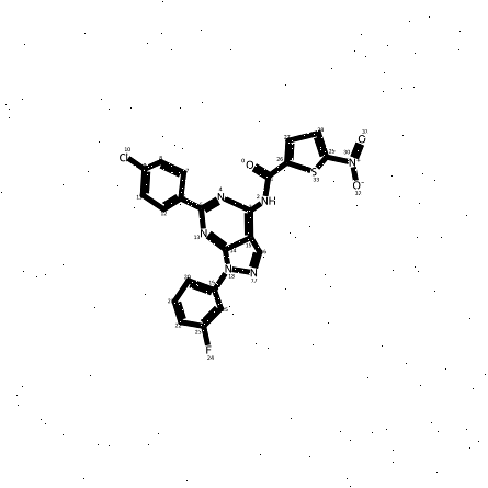 O=C(Nc1nc(-c2ccc(Cl)cc2)nc2c1cnn2-c1cccc(F)c1)c1ccc([N+](=O)[O-])s1